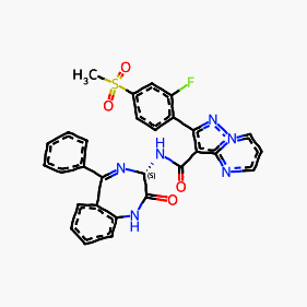 CS(=O)(=O)c1ccc(-c2nn3cccnc3c2C(=O)N[C@H]2N=C(c3ccccc3)c3ccccc3NC2=O)c(F)c1